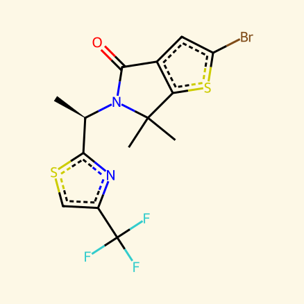 C[C@H](c1nc(C(F)(F)F)cs1)N1C(=O)c2cc(Br)sc2C1(C)C